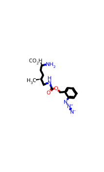 C[C@@H](CC[C@H](N)C(=O)O)CNC(=O)OCc1ccccc1N=[N+]=[N-]